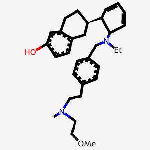 CCN(Cc1ccc(CCN(C)CCOC)cc1)C1C=CC=CC1[C@@H]1CCc2cc(O)ccc2C1